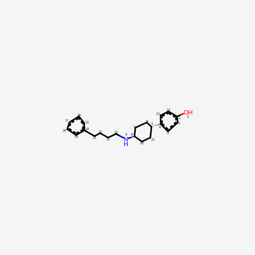 Oc1ccc([C@H]2CC[C@H](NCCCCc3ccccc3)CC2)cc1